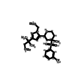 COCn1nc(C(C)(C)COC)cc1C1CC(C)(S(=O)(=O)c2cccc(C(F)(F)F)c2)CCO1